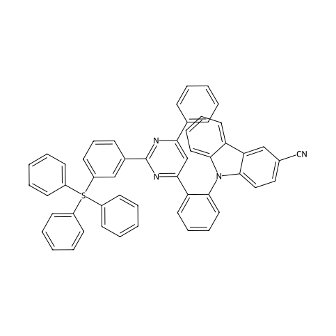 N#Cc1ccc2c(c1)c1ccccc1n2-c1ccccc1-c1cc(-c2ccccc2)nc(-c2cccc(S(c3ccccc3)(c3ccccc3)c3ccccc3)c2)n1